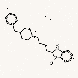 [O-][S+]1c2ccccc2NC1CCCCN1CCC(Cc2ccccc2)CC1